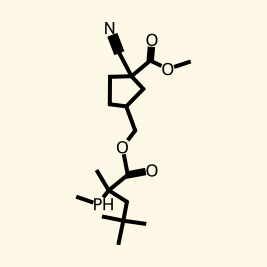 COC(=O)C1(C#N)CCC(COC(=O)C(C)(CC(C)(C)C)PC)C1